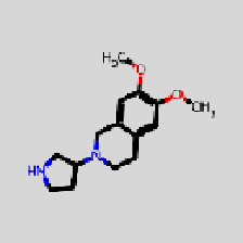 COc1cc2c(cc1OC)CN(C1CCNC1)CC2